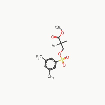 CC(=O)C(C)(COS(=O)(=O)c1cc(C(F)(F)F)cc(C(F)(F)F)c1)C(=O)OC(C)(C)C